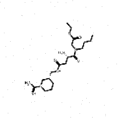 CCCCN(CC(=O)OCC)C(=O)[C@@H](N)CC(=O)NC[C@@H]1CCCN(C(=N)N)C1